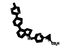 Cc1cnc(-c2ccc(-c3cccc4c3CC[C@H]4Nc3ccc([C@H]4C[C@@H]4C(=O)O)nc3)cc2)cn1